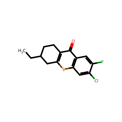 CCC1CCc2c(sc3cc(Cl)c(F)cc3c2=O)C1